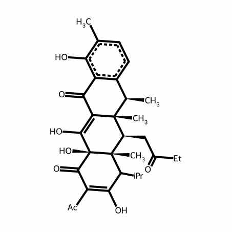 CCC(=O)C[C@@H]1[C@]2(C)C(=C(O)[C@@]3(O)C(=O)C(C(C)=O)=C(O)C(C(C)C)[C@@]13C)C(=O)c1c(ccc(C)c1O)[C@H]2C